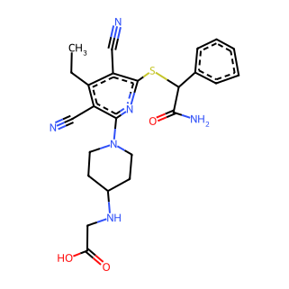 CCc1c(C#N)c(SC(C(N)=O)c2ccccc2)nc(N2CCC(NCC(=O)O)CC2)c1C#N